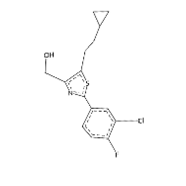 OCc1nc(-c2ccc(F)c(Cl)c2)sc1CCC1CC1